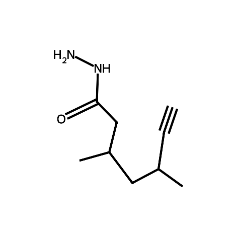 C#CC(C)CC(C)CC(=O)NN